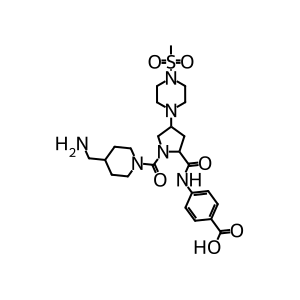 CS(=O)(=O)N1CCN(C2CC(C(=O)Nc3ccc(C(=O)O)cc3)N(C(=O)N3CCC(CN)CC3)C2)CC1